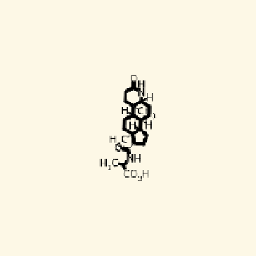 CC(NC(=O)[C@H]1CC[C@H]2[C@@H]3CC[C@H]4NC(=O)CC[C@]4(C)[C@H]3CC[C@]12C)C(=O)O